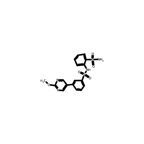 COc1ncc(-c2cccc(S(=O)(=O)Nc3ccccc3S(N)(=O)=O)c2)cn1